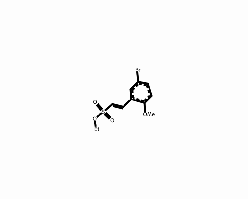 CCOS(=O)(=O)/C=C/c1cc(Br)ccc1OC